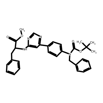 COC(=O)C(Cc1ccccc1)Nc1cc(-c2ccc(N(Cc3ccccc3)C(=O)OC(C)(C)C)cc2)ncn1